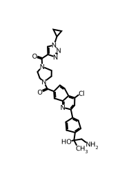 CC(O)(CN)c1ccc(-c2cc(Cl)c3ccc(C(=O)N4CCN(C(=O)c5cn(C6CC6)nn5)CC4)cc3n2)cc1